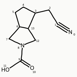 N#CCC1CCC2CN(C(=O)O)CC12